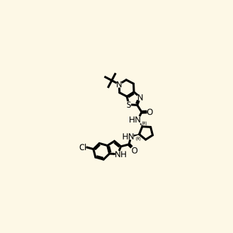 CC(C)(C)N1CCc2nc(C(=O)N[C@@H]3CCC[C@H]3NC(=O)c3cc4cc(Cl)ccc4[nH]3)sc2C1